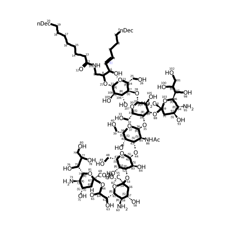 CCCCCCCCCCCCC/C=C/C(O)C(CNC(=O)CCCCCCCCCCCCCCCCC)O[C@@H]1O[C@H](CO)[C@@H](O[C@H]2O[C@@H](CO)[C@@H](O[C@H]3O[C@@H](CO)[C@@H](O)[C@@H](O[C@H]4O[C@@H](CO)[C@@H](O)[C@@H](O[C@@]5(C(=O)O)C[C@H](O)[C@@H](N)[C@H](C(O)C(O)O[C@@]6(C(=O)O)C[C@H](O)[C@@H](N)[C@H](C(O)C(O)CO)O6)O5)[C@@H]4O)[C@@H]3NC(C)=O)[C@@H](O[C@@]3(C(=O)O)C[C@H](O)[C@@H](N)[C@H](C(O)C(O)CO)O3)[C@@H]2O)[C@H](O)[C@H]1O